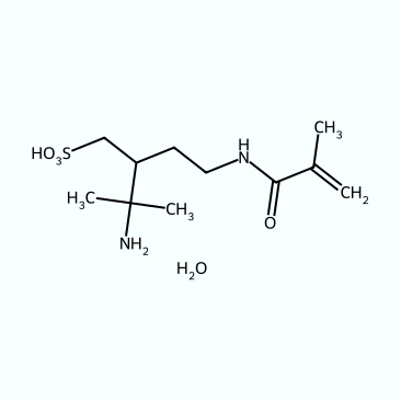 C=C(C)C(=O)NCCC(CS(=O)(=O)O)C(C)(C)N.O